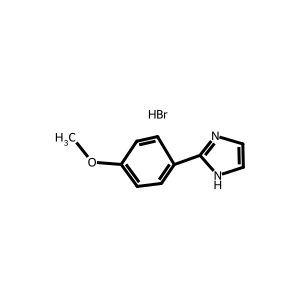 Br.COc1ccc(-c2ncc[nH]2)cc1